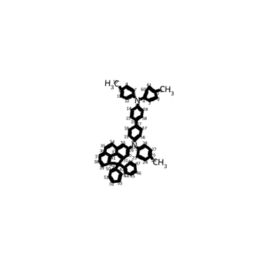 Cc1ccc(N(c2ccc(C)cc2)c2ccc(-c3ccc(N(c4ccc(C)cc4)c4cc5c6c(ccc7cccc(c76)C5(c5ccccc5)c5ccccc5)c4)cc3)cc2)cc1